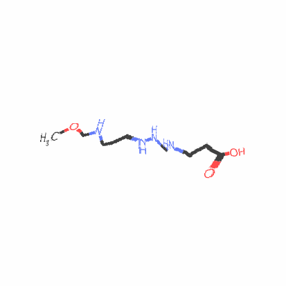 COCNCCNNCNCCC(=O)O